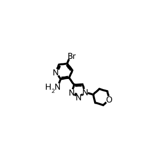 Nc1ncc(Br)cc1-c1cn(C2CCOCC2)nn1